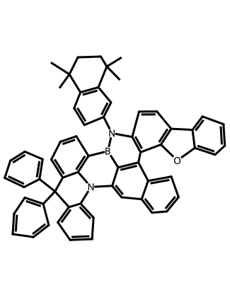 CC1(C)CCC(C)(C)c2cc(N3B4c5cccc6c5N(c5ccccc5C6(c5ccccc5)c5ccccc5)c5cc6ccccc6c(c54)-c4c3ccc3c4oc4ccccc43)ccc21